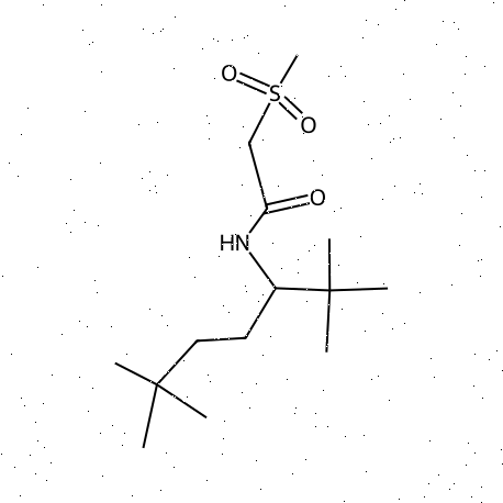 CC(C)(C)CCC(NC(=O)CS(C)(=O)=O)C(C)(C)C